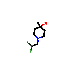 CC1(O)CCN(CB(F)F)CC1